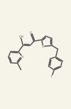 Cc1cccc(C(O)=CC(=O)c2ccc(Cc3ccc(F)cc3)o2)n1